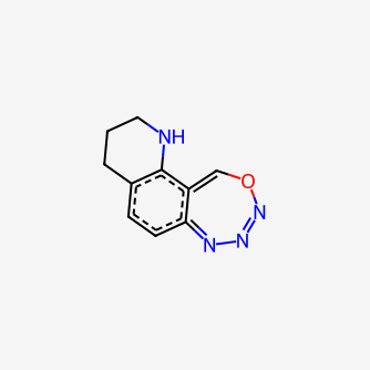 C1=c2c3c(ccc2=NN=NO1)CCCN3